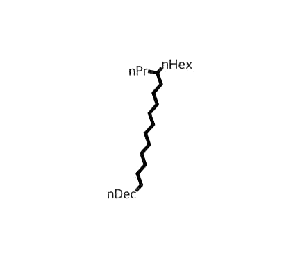 [CH2]CCCCCC(CCC)CCCCCCCCCCCCCCCCCCCCC